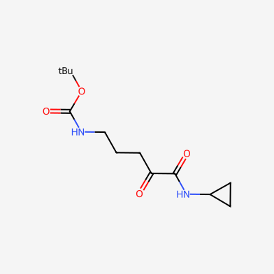 CC(C)(C)OC(=O)NCCCC(=O)C(=O)NC1CC1